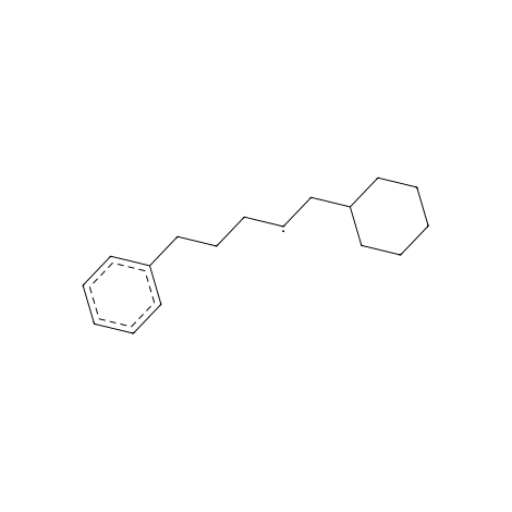 [CH](CCCc1ccccc1)CC1CCCCC1